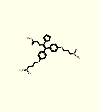 COC(=O)CCC(C1=CC=CC1)=C(c1ccc(OCCCN(C)C)cc1)c1ccc(OCCCN(C)C)cc1